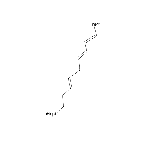 CCCC=CC=CCC=CCCCCCCCCC